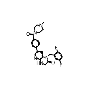 CN1CCN(C(=O)c2ccc(-c3cnc4c(c3)N(Cc3cc(F)ccc3F)C(=O)CN4)cc2)CC1